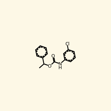 CC(OC(=O)Nc1cccc(Cl)c1)c1ccccc1